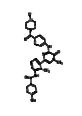 Cc1c(NC(=O)c2ccc(C(C)(C)C)cc2)cccc1-c1cn(C)c(=O)c(Nc2ccc(C(=O)N3CC[S+]([O-])CC3)cc2)n1